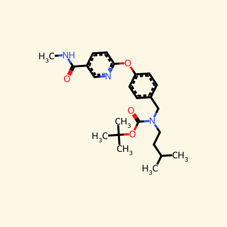 CNC(=O)c1ccc(Oc2ccc(CN(CCC(C)C)C(=O)OC(C)(C)C)cc2)nc1